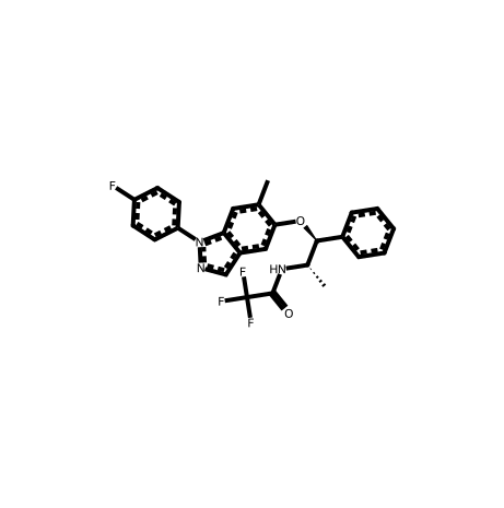 Cc1cc2c(cnn2-c2ccc(F)cc2)cc1O[C@@H](c1ccccc1)[C@H](C)NC(=O)C(F)(F)F